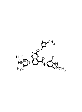 C[C@@H]1CN(c2ccc(C(=O)Nc3cc(F)c4nn(C)cc4c3)c3nc(OCc4cnn(C)c4)ncc23)C[C@H](C)N1